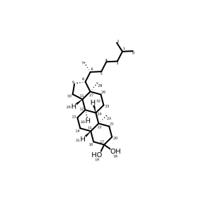 CC(C)CCC[C@@H](C)[C@H]1CC[C@H]2[C@@H]3CC[C@H]4CC(O)(O)CC[C@]4(C)[C@H]3CC[C@]12C